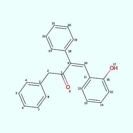 O=C(Cc1ccccc1)C(=Cc1ccccc1O)c1ccccc1